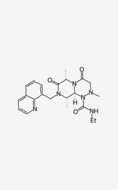 CCNC(=O)N1[C@H]2[C@H](C)N(Cc3cccc4cccnc34)C(=O)[C@H](C)N2C(=O)CN1C